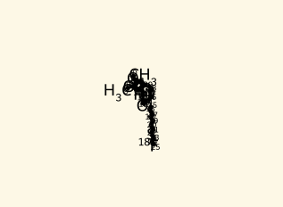 COc1cc2c(cc1OC)[C@@H]1CC(=O)[C@@H](CCCCCCCSCC[18F])CN1CC2